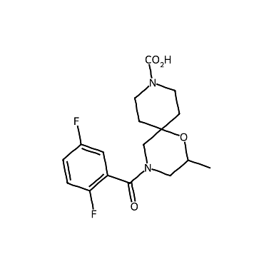 CC1CN(C(=O)c2cc(F)ccc2F)CC2(CCN(C(=O)O)CC2)O1